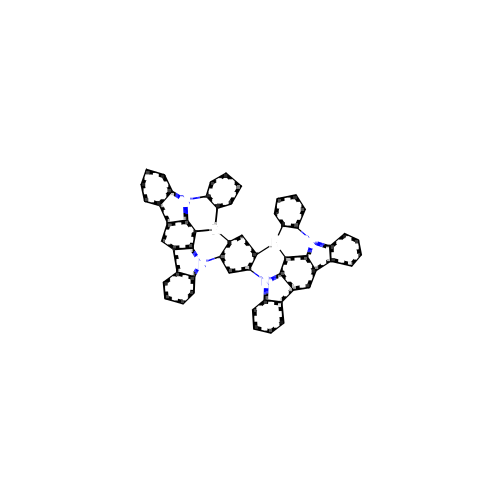 c1ccc2c(c1)B1c3cc4c(cc3-n3c5ccccc5c5cc6c7ccccc7n-2c6c1c53)-n1c2ccccc2c2cc3c5ccccc5n5c3c(c21)B4c1ccccc1-5